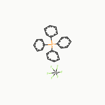 [F][Sb-]([F])([F])([F])([F])[F].c1ccc([P+](c2ccccc2)(c2ccccc2)c2ccccc2)cc1